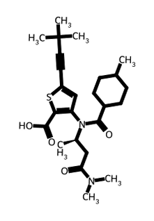 CC1CCC(C(=O)N(c2cc(C#CC(C)(C)C)sc2C(=O)O)[C@H](C)CC(=O)N(C)C)CC1